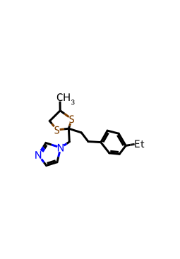 CCc1ccc(CCC2(Cn3ccnc3)SCC(C)S2)cc1